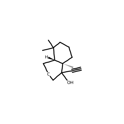 C#CC1(O)CCC[C@@H]2C(C)(C)CCC[C@]21C